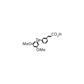 COc1cc(OC)cc([Te]c2cccc(C=CC(=O)O)c2)c1